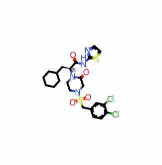 O=C(Nc1nccs1)[C@H](CC1CCCCC1)N1CCN(S(=O)(=O)Cc2ccc(Cl)c(Cl)c2)CC1=O